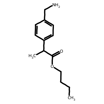 CCCCOC(=O)C(C)c1ccc(CN)cc1